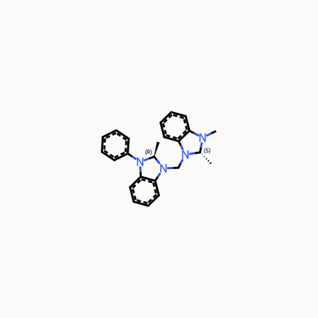 C[C@H]1N(C)c2ccccc2N1CN1c2ccccc2N(c2ccccc2)[C@H]1C